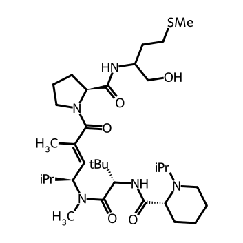 CSCCC(CO)NC(=O)[C@@H]1CCCN1C(=O)/C(C)=C/[C@H](C(C)C)N(C)C(=O)[C@@H](NC(=O)[C@H]1CCCCN1C(C)C)C(C)(C)C